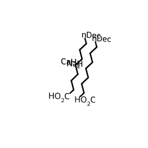 CCCCCCCCCCCCCCCCCC(=O)O.CCCCCCCCCCCCCCCCCC(=O)O.[CaH2].[NaH]